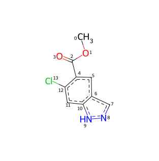 COC(=O)c1cc2cn[nH]c2cc1Cl